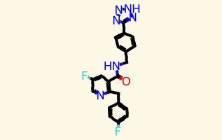 O=C(NCc1ccc(-c2nn[nH]n2)cc1)c1cc(F)cnc1Cc1ccc(F)cc1